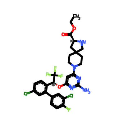 CCOC(=O)[C@@H]1CC2(CCN(c3cc(O[C@H](c4ccc(Cl)cc4-c4ccc(F)c(Cl)c4)C(F)(F)F)nc(N)n3)CC2)CN1